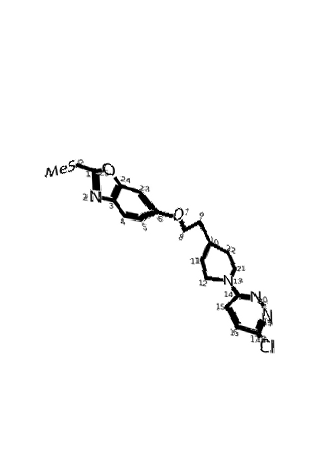 CSc1nc2ccc(OCCC3CCN(c4ccc(Cl)nn4)CC3)cc2o1